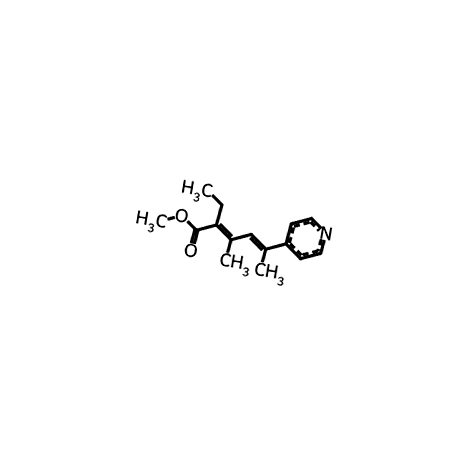 CC/C(C(=O)OC)=C(C)\C=C(/C)c1ccncc1